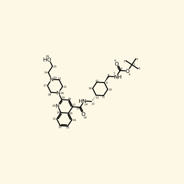 CC(C)(C)OC(=O)NC[C@H]1CC[C@H](CNC(=O)c2cc(N3CCN(CCO)CC3)nc3ccccc23)CC1